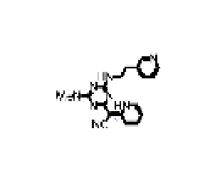 CNc1nc(NCCc2cccnc2)nc(/C(C#N)=C2/C=CC=CN2)n1